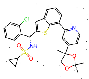 CC1(C)OCC(C)(c2ccnc(-c3cccc4cc([C@H](NS(=O)(=O)C5CC5)c5ccccc5Cl)sc34)c2)O1